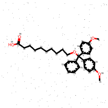 COc1ccc(C(OCCCCCCCCCC(=O)O)(c2ccccc2)c2ccc(OC)cc2)cc1